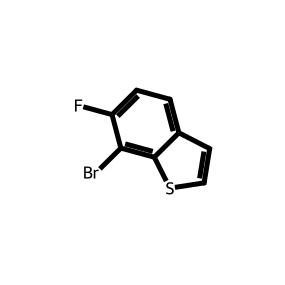 Fc1ccc2ccsc2c1Br